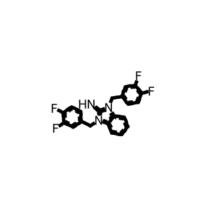 N=c1n(Cc2ccc(F)c(F)c2)c2ccccc2n1Cc1ccc(F)c(F)c1